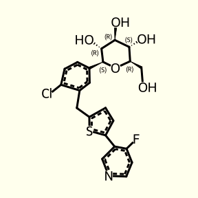 OC[C@H]1O[C@@H](c2ccc(Cl)c(Cc3ccc(-c4cnccc4F)s3)c2)[C@H](O)[C@@H](O)[C@@H]1O